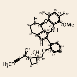 CC#CC(=O)N1CC[C@]1(C)COc1cnccc1-c1[nH]c2c(c1Nc1cc(F)cc(F)c1OC)C(=O)NCC2